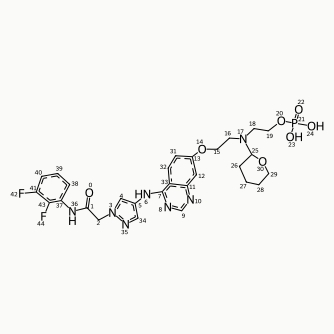 O=C(Cn1cc(Nc2ncnc3cc(OCCN(CCOP(=O)(O)O)C4CCCCO4)ccc23)cn1)Nc1cccc(F)c1F